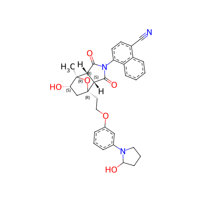 C[C@]12O[C@](CCOc3cccc(N4CCCC4O)c3)(C[C@@H]1O)[C@H]1C(=O)N(c3ccc(C#N)c4ccccc34)C(=O)[C@H]12